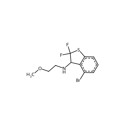 COCCNC1c2c(Br)cccc2SC1(F)F